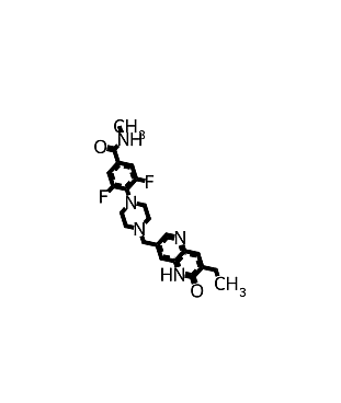 CCc1cc2ncc(CN3CCN(c4c(F)cc(C(=O)NC)cc4F)CC3)cc2[nH]c1=O